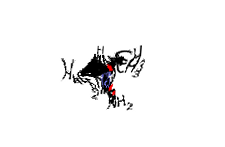 Cc1ccc2[nH]c(C(=O)NCCC(C)C)c(/C(N)=C/N(N)CC3CCN(CCN)CC3)c2c1